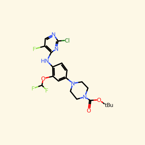 CC(C)(C)OC(=O)N1CCN(c2ccc(Nc3nc(Cl)ncc3F)c(OC(F)F)c2)CC1